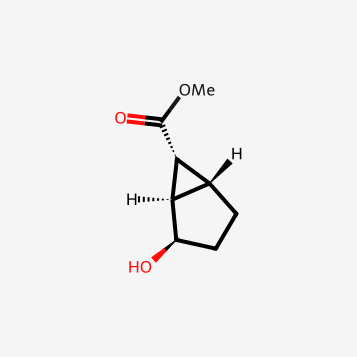 COC(=O)[C@@H]1[C@@H]2CC[C@@H](O)[C@H]21